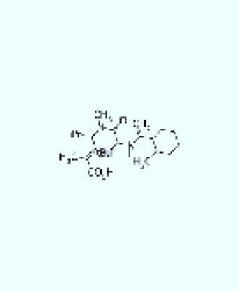 C=C(N[C@H](C(=O)N(C)[C@H](/C=C(\C)C(=O)O)C(C)C)C(C)(C)C)C1CCCCC1C